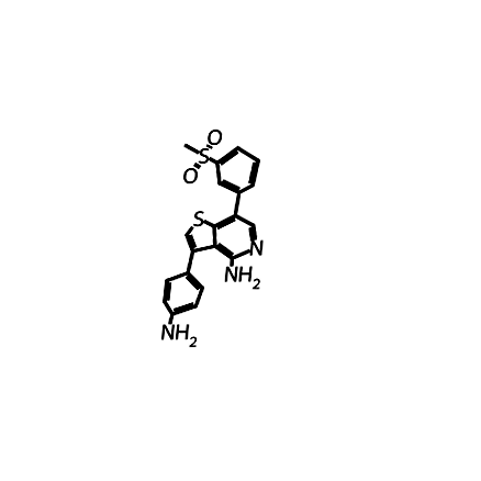 CS(=O)(=O)c1cccc(-c2cnc(N)c3c(-c4ccc(N)cc4)csc23)c1